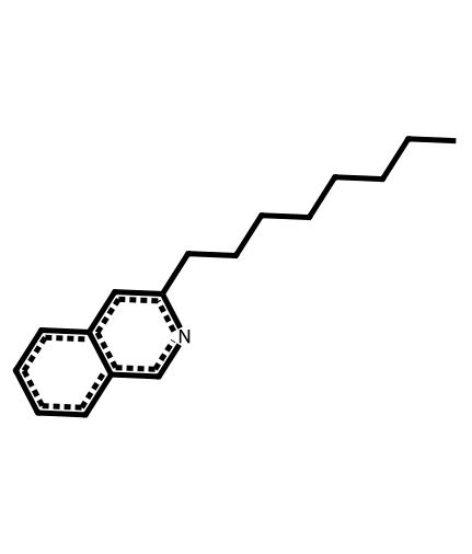 CCCCCCCCc1cc2ccccc2cn1